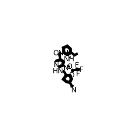 CCc1ccccc1Nc1c(C(N)=O)cnc2c1N(OC(=O)C(F)(F)F)C(c1ccc(C#N)cc1)N2